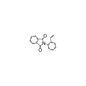 C=Cc1ccccc1N1C(=O)c2ccccc2C1=O